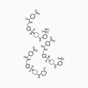 CS(=O)(=O)c1cccc(NC2CCN(S(=O)(=O)c3ccc(CNC(=O)c4ccc([N+](=O)[O-])cc4)s3)CC2)c1.CSc1cccc(NC2CCN(S(=O)(=O)c3ccc(CNC(=O)c4ccc([N+](=O)[O-])cc4)s3)CC2)c1.NS(=O)(=O)c1cccc(NC2CCN(S(=O)(=O)c3ccc(CNC(=O)c4ccc([N+](=O)[O-])cc4)s3)CC2)c1